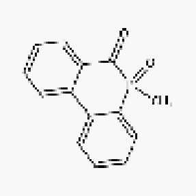 CP1(=O)C(=O)c2ccccc2-c2ccccc21